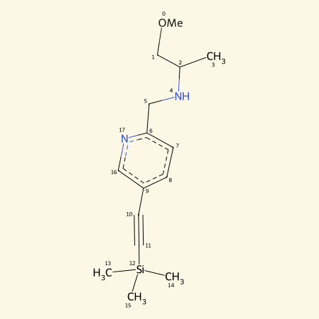 COCC(C)NCc1ccc(C#C[Si](C)(C)C)cn1